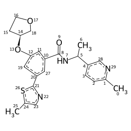 Cc1ccc(C(C)NC(=O)c2cc(O[C@H]3CCOC3)cc(-c3ncc(C)s3)c2)cn1